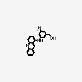 Nc1cc(CO)cc(Nc2cccc3nc4ccccc4cc23)c1